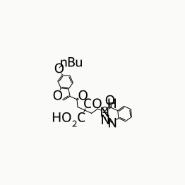 CCCCOc1ccc2c(C(=O)CC(CCn3nnc4ccccc4c3=O)(C(=O)O)C(=O)O)coc2c1